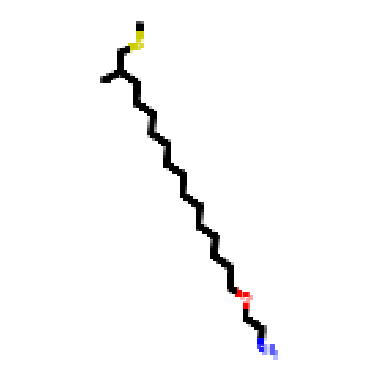 CSCC(C)CCCCCCCCCCCCCCOCCN